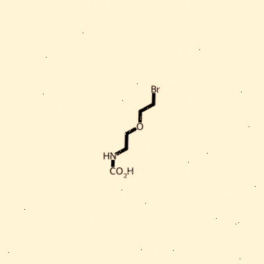 O=C(O)NCCOCCBr